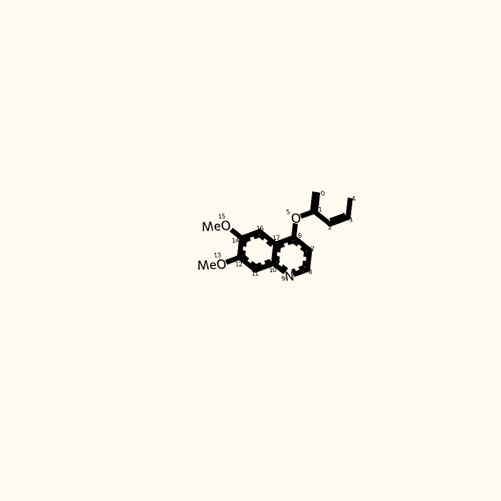 C=C(/C=C\C)Oc1ccnc2cc(OC)c(OC)cc12